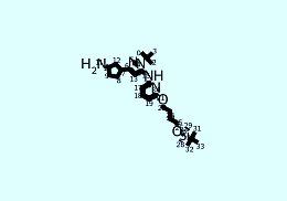 CC(C)(C)n1nc(C2CCC(N)C2)cc1Nc1cccc(OCCCCO[Si](C)(C)C(C)(C)C)n1